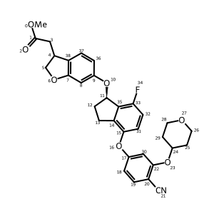 COC(=O)CC1COc2cc(O[C@@H]3CCc4c(Oc5ccc(C#N)c(OC6CCOCC6)c5)ccc(F)c43)ccc21